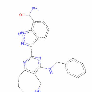 NC(=O)c1cccc2c(-c3nc4c(c(NCc5ccccc5)n3)CNCCC4)n[nH]c12